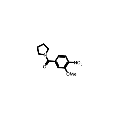 COc1cc(C(=O)N2CCCC2)ccc1[N+](=O)[O-]